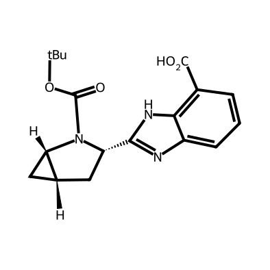 CC(C)(C)OC(=O)N1[C@H](c2nc3cccc(C(=O)O)c3[nH]2)C[C@@H]2C[C@@H]21